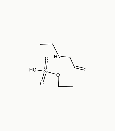 C=CCNCC.CCOS(=O)(=O)O